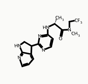 C[C@@H](Nc1ccnc(C2CNc3ncccc32)n1)C(=O)N(C)CC(F)(F)F